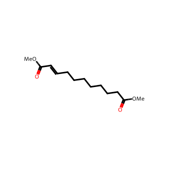 COC(=O)/C=C/CCCCCCCC(=O)OC